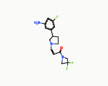 Nc1cc(F)cc(C2CCN(/C=C\C(=O)N3CC(F)(F)C3)C2)c1